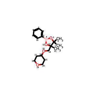 CC1(C)OB(c2ccccc2)OC1(C)COC1CCOCC1